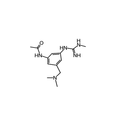 CNC(=N)Nc1cc(CN(C)C)cc(NC(C)=O)c1